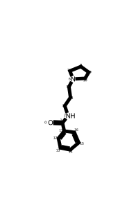 O=C(NCCCN1CCCC1)c1c[c]ccc1